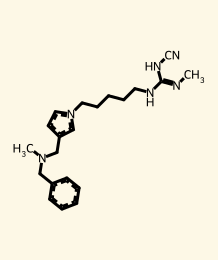 CN=C(NC#N)NCCCCCn1ccc(CN(C)Cc2ccccc2)c1